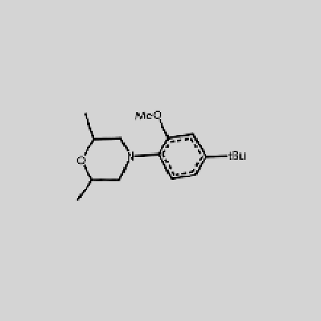 COc1cc(C(C)(C)C)ccc1N1CC(C)OC(C)C1